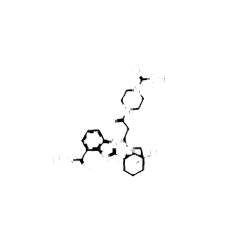 NC(=O)c1cccc2[nH]c([C@@]34CCC[C@@H](CN3CCC(=O)N3CCN(C(=O)O)CC3)C4)nc12